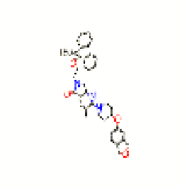 Cc1cc2c(nc1N1CCC(Oc3ccc4c(c3)COC4)CC1)CN(CCO[Si](c1ccccc1)(c1ccccc1)C(C)(C)C)C2=O